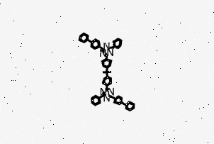 CC(C)(c1ccc(-c2nc(-c3ccccc3)nc(-c3ccc(-c4ccccc4)cc3)n2)cc1)c1ccc(-c2nc(-c3ccccc3)nc(-c3ccc(-c4ccccc4)cc3)n2)cc1